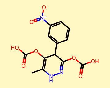 CC1=C(OC(=O)O)C(c2cccc([N+](=O)[O-])c2)C(OC(=O)O)=NN1